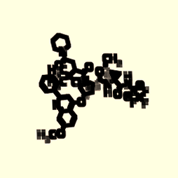 C=C[C@@H]1C[C@]1(NC(=O)[C@@H]1C[C@@H](Oc2cc(-c3ccccc3)nc3cc(OC)ccc23)CN1C(=O)C(CC(=O)N1CCCCC1)C(C)(C)C)C(=O)NS(=O)(=O)C(F)(F)F